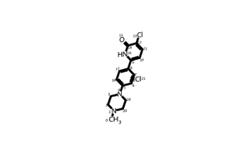 CN1CCN(c2ccc(-c3ccc(Cl)c(=O)[nH]3)cc2)CC1.Cl